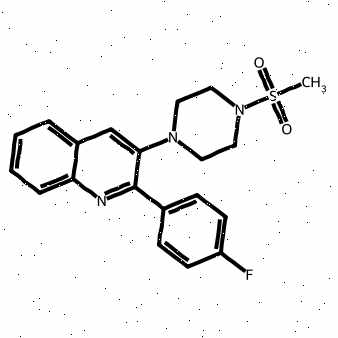 CS(=O)(=O)N1CCN(c2cc3ccccc3nc2-c2ccc(F)cc2)CC1